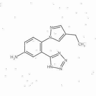 CCc1cnn(-c2ccc(N)cc2-c2nnn[nH]2)c1